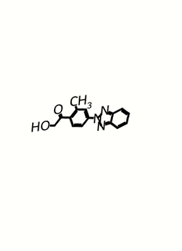 Cc1cc(-n2nc3ccccc3n2)ccc1C(=O)CO